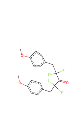 COc1ccc(CC(F)(F)C(=O)C(F)(F)Cc2ccc(OC)cc2)cc1